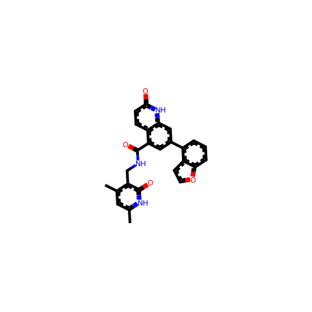 Cc1cc(C)c(CNC(=O)c2cc(-c3cccc4occc34)cc3[nH]c(=O)ccc23)c(=O)[nH]1